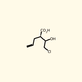 C=CC[C@@H](C(=O)O)C(O)CCl